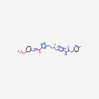 Cc1ccc(CC(=O)NC2=CN(CC(F)CCn3cc(C(=O)NCc4cccc(OC(F)(F)F)c4)nn3)NN2)cn1